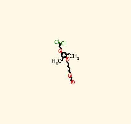 CCc1cc(OCC=C(Cl)Cl)cc(CC)c1OCCCCCCOCC=O